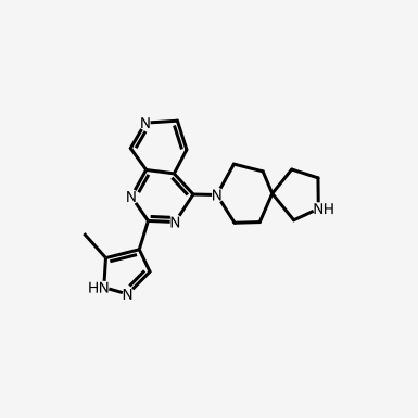 Cc1[nH]ncc1-c1nc(N2CCC3(CCNC3)CC2)c2ccncc2n1